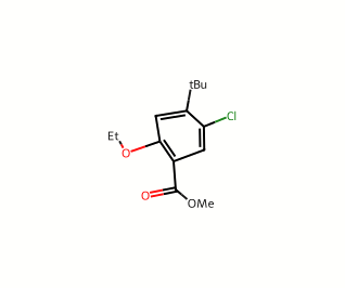 CCOc1cc(C(C)(C)C)c(Cl)cc1C(=O)OC